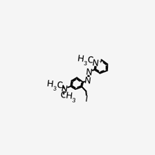 CN(C)c1ccc(N=Nc2cccc[n+]2C)c(CI)c1